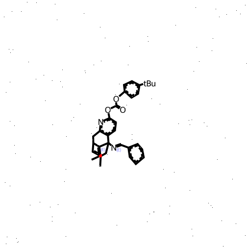 C/C=C1\C2C=C(C)CC1(/N=C/c1ccccc1)c1ccc(OC(=O)Oc3ccc(C(C)(C)C)cc3)nc1C2